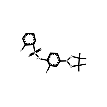 CC1(C)OB(c2ccc(NS(=O)(=O)c3ccccc3F)c(F)c2)OC1(C)C